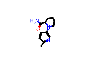 Cc1ccc(N2CC[C]CC2C(N)=O)cn1